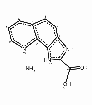 N.O=C(O)c1nc2ccc3cccnc3c2[nH]1